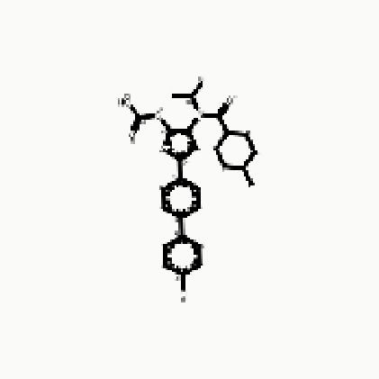 CC1CCC(C(=O)N(c2cc(-c3ccc(-c4ccc(Cl)cc4)cc3)sc2OC(=O)O)C(C)C)CC1